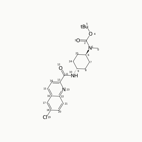 CN(C(=O)OC(C)(C)C)[C@H]1CC[C@H](NC(=O)c2ccc3cc(Cl)ccc3n2)CC1